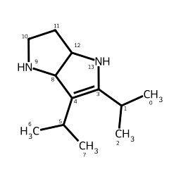 CC(C)C1=C(C(C)C)C2NCCC2N1